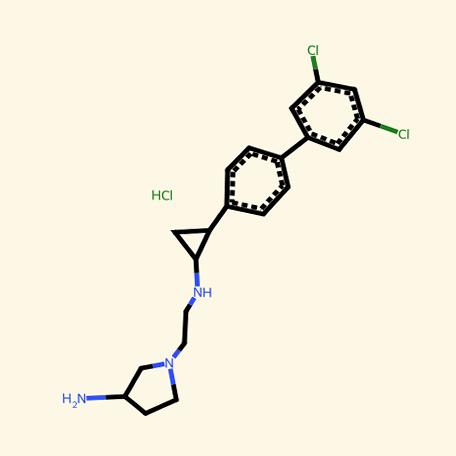 Cl.NC1CCN(CCNC2CC2c2ccc(-c3cc(Cl)cc(Cl)c3)cc2)C1